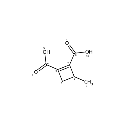 CC1CC(C(=O)O)=C1C(=O)O